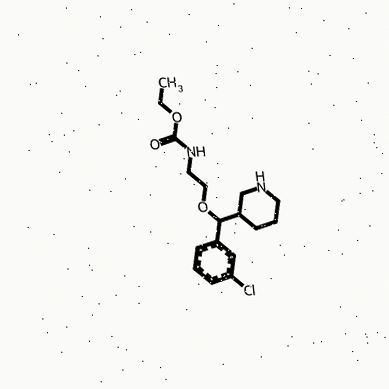 CCOC(=O)NCCOC(c1cccc(Cl)c1)C1CCCNC1